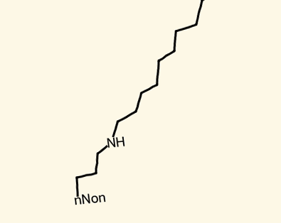 CCCCCCCCCCCCNCCCCCCCCCC(C)C